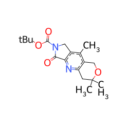 Cc1c2c(nc3c1CN(C(=O)OC(C)(C)C)C3=O)CC(C)(C)OC2